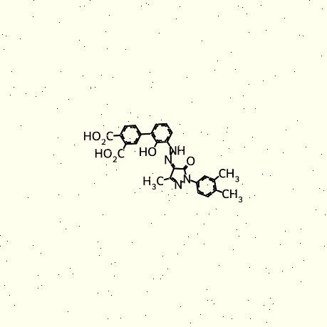 CC1=NN(c2ccc(C)c(C)c2)C(=O)C1=NNc1cccc(-c2ccc(C(=O)O)c(C(=O)O)c2)c1O